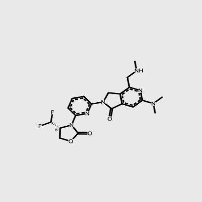 CNCc1nc(N(C)C)cc2c1CN(c1cccc(N3C(=O)OC[C@@H]3C(F)F)n1)C2=O